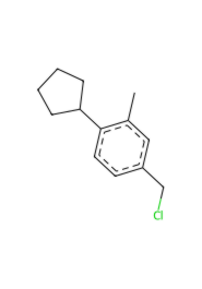 Cc1cc(CCl)ccc1C1CCCC1